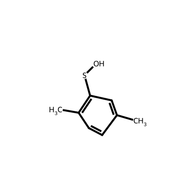 Cc1ccc(C)c(SO)c1